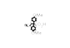 COc1ccc(C(CC=C=O)(C(=O)O)c2ccc(OC)cc2)cc1